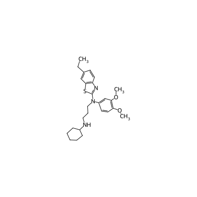 CCc1ccc2nc(N(CCCNC3CCCCC3)c3ccc(OC)c(OC)c3)sc2c1